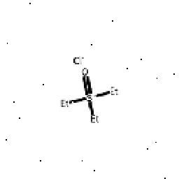 CC[S+](=O)(CC)CC.[Cl-]